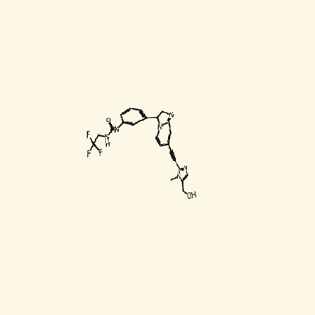 Cn1c(CO)cnc1C#CC1=CC2=NCC(c3cccc(NC(=O)NCC(F)(F)F)c3)N2C=C1